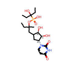 CCC(C)(CC1C[C@@H](n2ccc(=O)[nH]c2=O)[C@H](O)[C@@H]1O)OP(=O)(O)C(O)(CC)CC